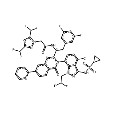 O=C(Cn1nc(C(F)F)cc1C(F)F)N[C@@H](Cc1cc(F)cc(F)c1)c1nc2cc(-c3ccccn3)ccc2c(=O)n1-c1ccc(Cl)c2c(NS(=O)(=O)C3CC3)nn(CC(F)F)c12